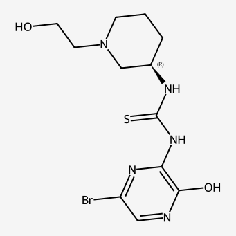 OCCN1CCC[C@@H](NC(=S)Nc2nc(Br)cnc2O)C1